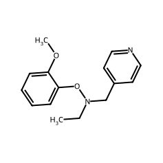 CCN(Cc1ccncc1)Oc1ccccc1OC